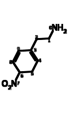 NCCC1=CCC([N+](=O)[O-])C=C1